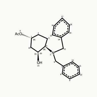 CC(=O)O[C@@H]1CC[C@@H](N(Cc2ccccc2)Cc2ccccc2)[C@@H](O)C1